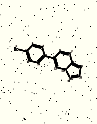 Brc1ccc(-c2cnc3ccnn3c2)cc1